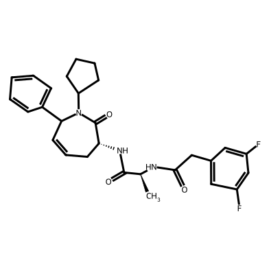 C[C@H](NC(=O)Cc1cc(F)cc(F)c1)C(=O)N[C@@H]1CC=CC(c2ccccc2)N(C2CCCC2)C1=O